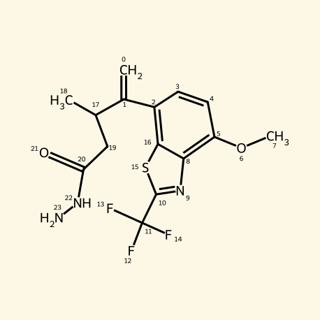 C=C(c1ccc(OC)c2nc(C(F)(F)F)sc12)C(C)CC(=O)NN